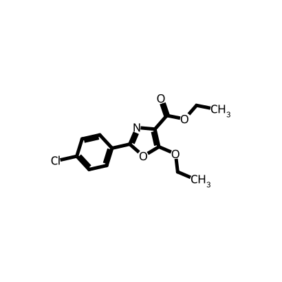 CCOC(=O)c1nc(-c2ccc(Cl)cc2)oc1OCC